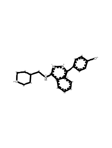 Clc1ccc(-c2nnc(NCC3CCOCC3)c3ccccc23)cc1